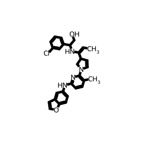 C/C=C(/NC(CO)c1cccc(Cl)c1)C1C=CN(c2nc(Nc3ccc4occc4c3)ccc2C)C1